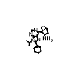 CC(C)n1c(-c2ccccc2)nc2c(C3OCCC3N)ncnc21